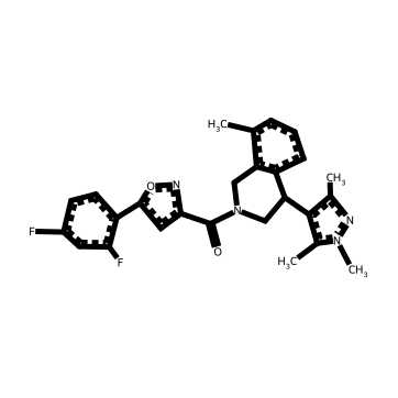 Cc1cccc2c1CN(C(=O)c1cc(-c3ccc(F)cc3F)on1)CC2c1c(C)nn(C)c1C